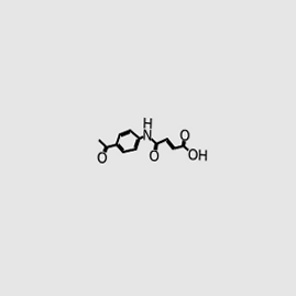 CC(=O)c1ccc(NC(=O)/C=C/C(=O)O)cc1